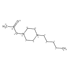 CCCCCN1CCN(OC(C)=O)CC1